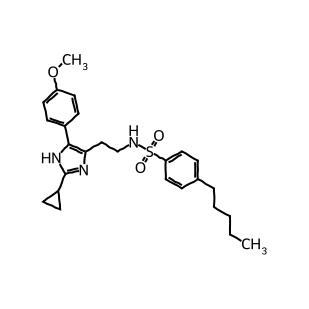 CCCCCc1ccc(S(=O)(=O)NCCc2nc(C3CC3)[nH]c2-c2ccc(OC)cc2)cc1